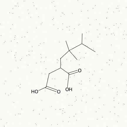 CC(C)C(C)(C)CC(CC(=O)O)C(=O)O